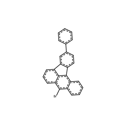 Brc1c2ccccc2c2c3c(cccc13)-c1cc(-c3ccccc3)ccc1-2